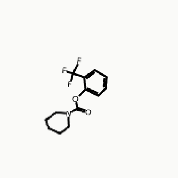 O=C(Oc1ccccc1C(F)(F)F)N1CCCCC1